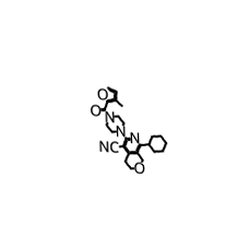 Cc1ccoc1C(=O)N1CCN(c2nc(C3CCCCC3)c3c(c2C#N)CCOC3)CC1